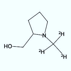 [2H]C([2H])([2H])N1CCCC1CO